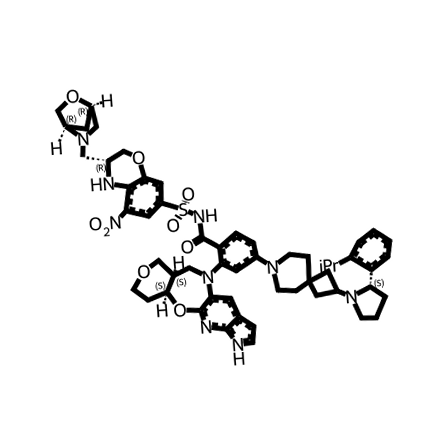 CC(C)c1ccccc1[C@@H]1CCCN1C1CC2(CCN(c3ccc(C(=O)NS(=O)(=O)c4cc5c(c([N+](=O)[O-])c4)N[C@H](CN4C[C@H]6C[C@@H]4CO6)CO5)c(N4C[C@H]5COCC[C@@H]5Oc5nc6[nH]ccc6cc54)c3)CC2)C1